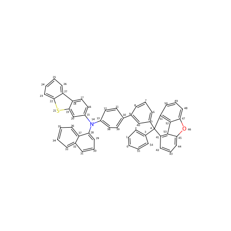 c1ccc(C2(c3cccc(-c4ccc(N(c5ccc6c(c5)sc5ccccc56)c5cccc6ccccc56)cc4)c3)c3cccc4oc5cccc2c5c34)cc1